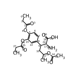 CCC(=O)Oc1ccc(C(CC(C)OC(C)=O)[C@H](N)C(=O)O)cc1OC(=O)CC